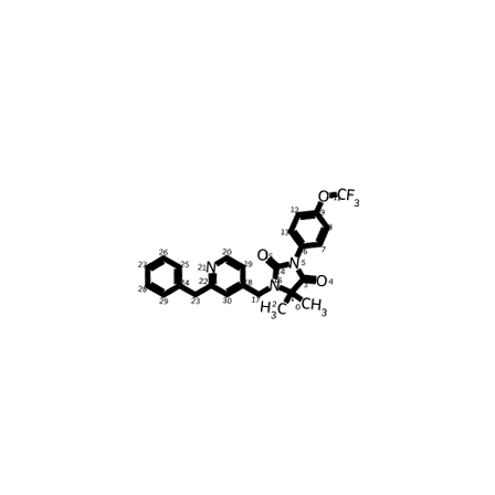 CC1(C)C(=O)N(c2ccc(OC(F)(F)F)cc2)C(=O)N1Cc1ccnc(Cc2ccccc2)c1